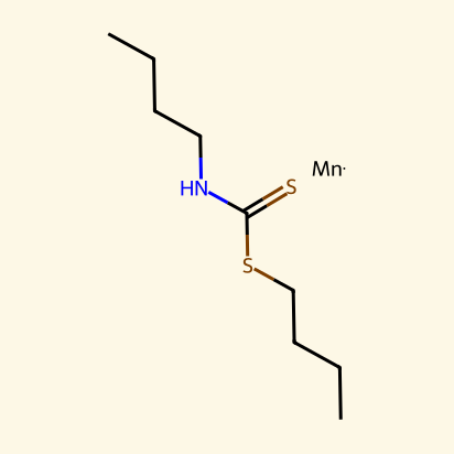 CCCCNC(=S)SCCCC.[Mn]